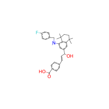 CN(Cc1ccc(F)cc1)c1cc(C(O)C=Cc2ccc(C(=O)O)cc2)cc2c1C(C)(C)CCC2(C)C